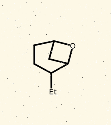 CCC1CCC2CC1O2